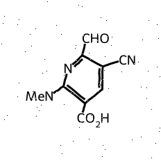 CNc1nc(C=O)c(C#N)cc1C(=O)O